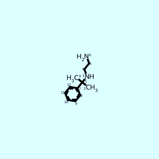 CC(C)(NCCN)c1ccccc1